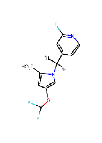 [2H]C([2H])(c1ccnc(F)c1)n1cc(OC(F)F)cc1C(=O)O